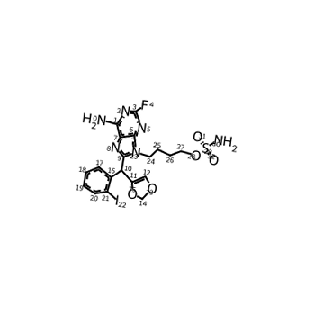 Nc1nc(F)nc2c1nc(C(C1=COCO1)c1ccccc1I)n2CCCCOS(N)(=O)=O